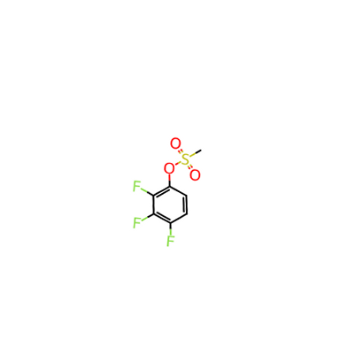 CS(=O)(=O)Oc1ccc(F)c(F)c1F